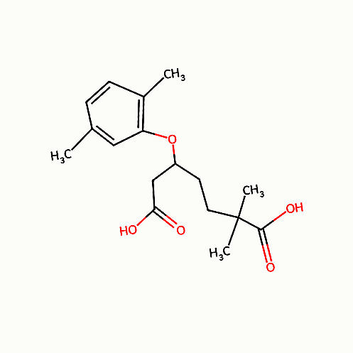 Cc1ccc(C)c(OC(CCC(C)(C)C(=O)O)CC(=O)O)c1